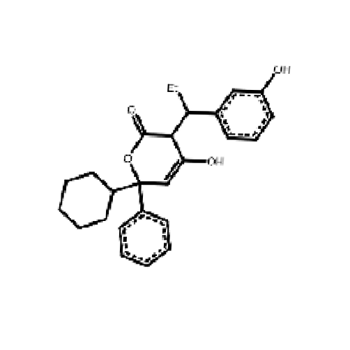 CCC(c1cccc(O)c1)C1C(=O)OC(c2ccccc2)(C2CCCCC2)C=C1O